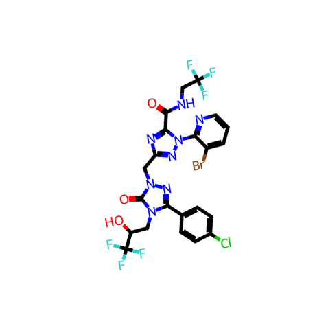 O=C(NCC(F)(F)F)c1nc(Cn2nc(-c3ccc(Cl)cc3)n(CC(O)C(F)(F)F)c2=O)nn1-c1ncccc1Br